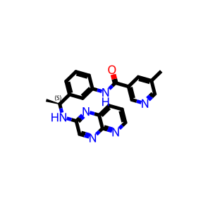 Cc1cncc(C(=O)Nc2cccc([C@H](C)Nc3cnc4ncccc4n3)c2)c1